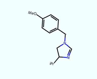 COc1ccc([CH]N2C=NC(C(C)C)C2)cc1